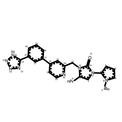 CCCc1cn(-c2cccn2C(C)CC)c(=O)n1Cc1cc(-c2cccc(-c3nnn[nH]3)c2)ccn1